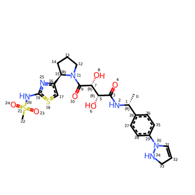 C[C@@H](NC(=O)[C@H](O)[C@@H](O)C(=O)N1CCC[C@@H]1c1csc(NS(C)(=O)=O)n1)c1ccc(N2C=CCN2)cc1